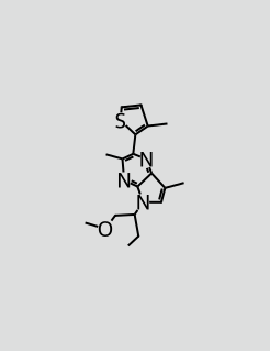 CCC(COC)n1cc(C)c2nc(-c3sccc3C)c(C)nc21